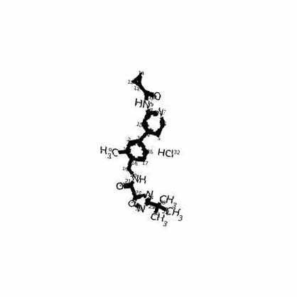 Cc1cc(-c2ccnc(NC(=O)C3CC3)c2)ccc1CNC(=O)c1nc(C(C)(C)C)no1.Cl